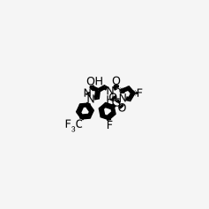 O=C(NCc1cn(-c2ccc(C(F)(F)F)cc2)nc1O)[C@@H]1C[C@@H](F)CN1S(=O)(=O)c1cccc(F)c1